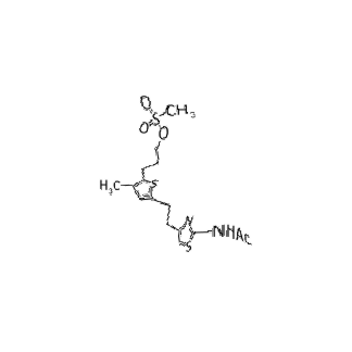 CC(=O)Nc1nc(CCc2cc(C)c(CCCOS(C)(=O)=O)s2)cs1